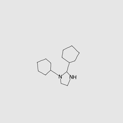 C1CCC(C2NCCN2C2CCCCC2)CC1